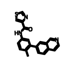 Cc1ccc(NC(=O)c2cscn2)cc1-c1ccc2ccncc2c1